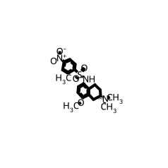 COc1ccc(NS(=O)(=O)c2ccc([N+](=O)[O-])cc2C)c2c1C[C@@H](N(C)C)CC2